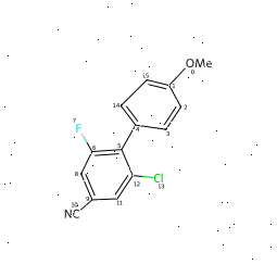 COc1ccc(-c2c(F)cc(C#N)cc2Cl)cc1